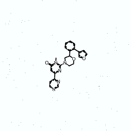 Cn1c(N2CCOC(c3ccccc3-c3ccoc3)C2)nc(-c2ccncn2)cc1=O